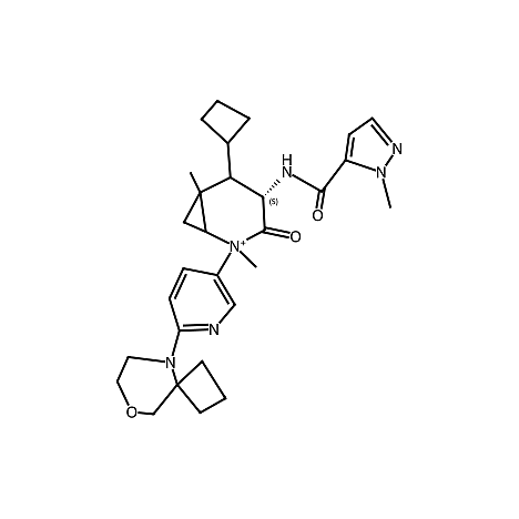 Cn1nccc1C(=O)N[C@@H]1C(=O)[N+](C)(c2ccc(N3CCOCC34CCC4)nc2)C2CC2(C)C1C1CCC1